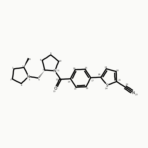 C[C@@H]1CCCN1C[C@@H]1CCCN1C(=O)c1ccc(-c2ccc(C#N)s2)cc1